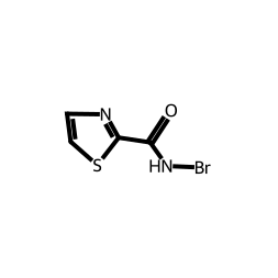 O=C(NBr)c1nccs1